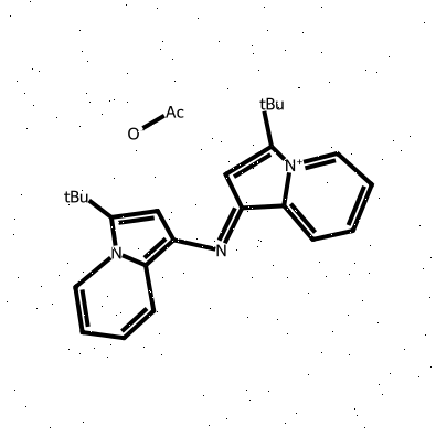 CC(=O)[O-].CC(C)(C)C1=C/C(=N\c2cc(C(C)(C)C)n3ccccc23)c2cccc[n+]21